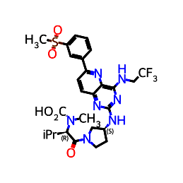 CC(C)[C@H](C(=O)N1CC[C@H](Nc2nc(NCC(F)(F)F)c3nc(-c4cccc(S(C)(=O)=O)c4)ccc3n2)C1)N(C)C(=O)O